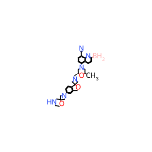 Bc1ccc2c(N3C[C@H](CN4CC5(C4)OCc4cc(N6CC7(CNCCO7)C6)ccc45)O[C@H](C)C3)ccc(C#N)c2n1